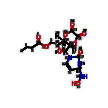 CCCC(=O)OC[C@H]1O[C@@H](n2ccc(NO)nc2=O)[C@@H]2OC(=O)C(=O)O[C@@H]21